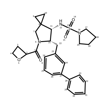 O=C(C1CCO1)N1CC2(CC2)[C@H](NS(=O)(=O)N2CCCC2)[C@@H]1Cc1cccc(-c2ccccc2)c1